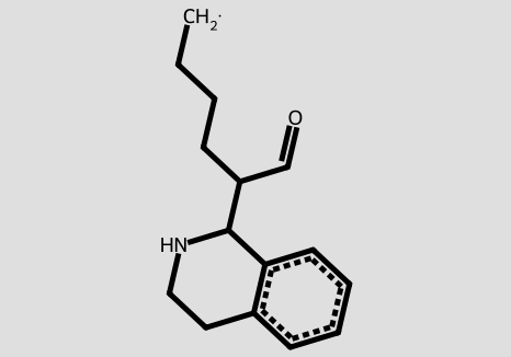 [CH2]CCCC(C=O)C1NCCc2ccccc21